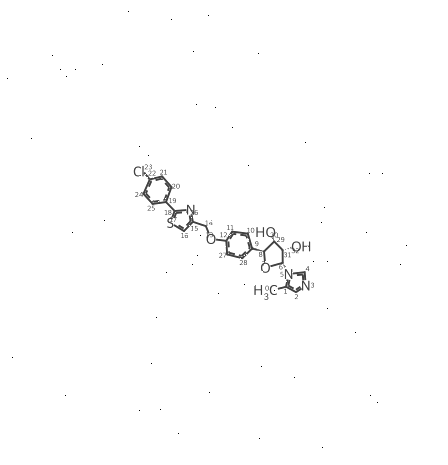 Cc1cncn1[C@@H]1O[C@@H](c2ccc(OCc3csc(-c4ccc(Cl)cc4)n3)cc2)[C@H](O)[C@@H]1O